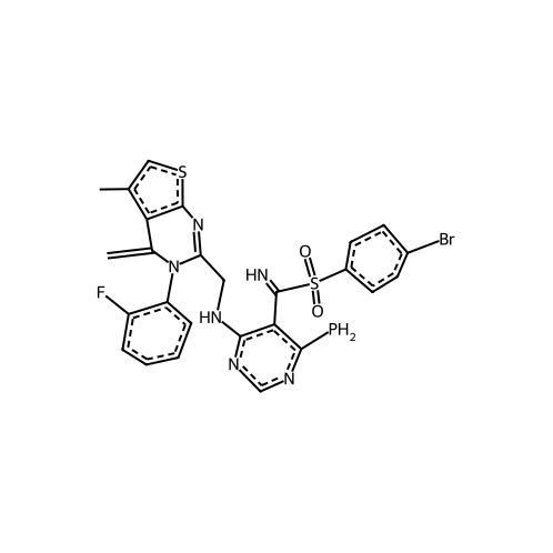 C=C1c2c(C)csc2N=C(CNc2ncnc(P)c2C(=N)S(=O)(=O)c2ccc(Br)cc2)N1c1ccccc1F